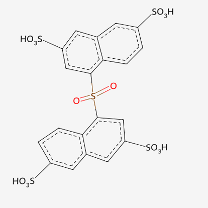 O=S(=O)(O)c1ccc2c(S(=O)(=O)c3cc(S(=O)(=O)O)cc4cc(S(=O)(=O)O)ccc34)cc(S(=O)(=O)O)cc2c1